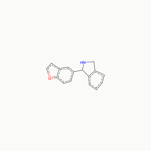 c1ccc2c(c1)CNC2c1ccc2occc2c1